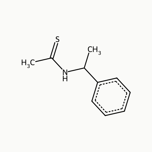 CC(=S)NC(C)c1ccccc1